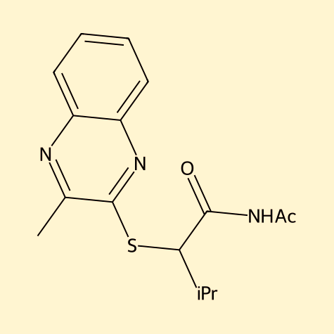 CC(=O)NC(=O)C(Sc1nc2ccccc2nc1C)C(C)C